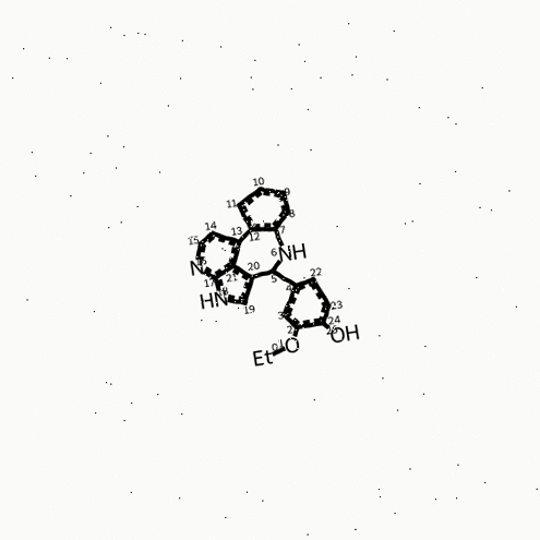 CCOc1cc(C2Nc3ccccc3-c3ccnc4[nH]cc2c34)ccc1O